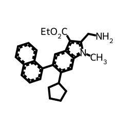 CCOC(=O)c1c(CN)n(C)c2cc(C3CCCC3)c(-c3cccc4ccccc34)cc12